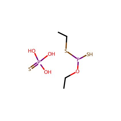 CCOP(S)SCC.OP(O)(O)=S